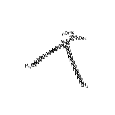 CCCCCCCCCCSC1=C(SCCCCCCCCCC)SC(=C2SC(S(#N)=NN=NN=NN=NN=NN=NN=NN=NN=NN=NC)=C(S(#N)=NN=NN=NN=NN=NN=NN=NN=NN=NN=NC)S2)S1